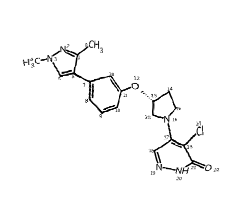 Cc1nn(C)cc1-c1cccc(O[C@@H]2CCN(c3cn[nH]c(=O)c3Cl)C2)c1